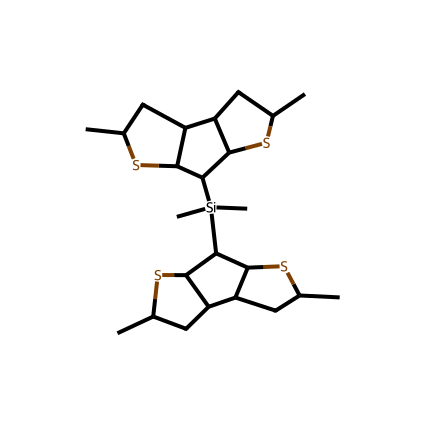 CC1CC2C3CC(C)SC3C([Si](C)(C)C3C4SC(C)CC4C4CC(C)SC43)C2S1